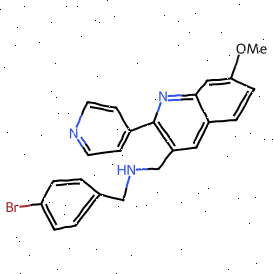 COc1ccc2cc(CNCc3ccc(Br)cc3)c(-c3ccncc3)nc2c1